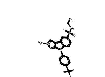 CCNS(=O)(=O)c1ccc2c(c1)c1cn(C)nc1n2-c1ccc(C(F)(F)F)cc1